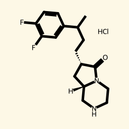 CC(CC[C@H]1C[C@H]2CNCCN2C1=O)c1ccc(F)c(F)c1.Cl